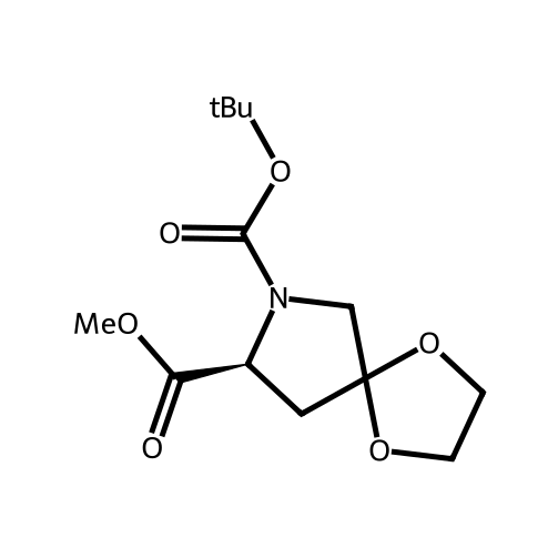 COC(=O)[C@@H]1CC2(CN1C(=O)OC(C)(C)C)OCCO2